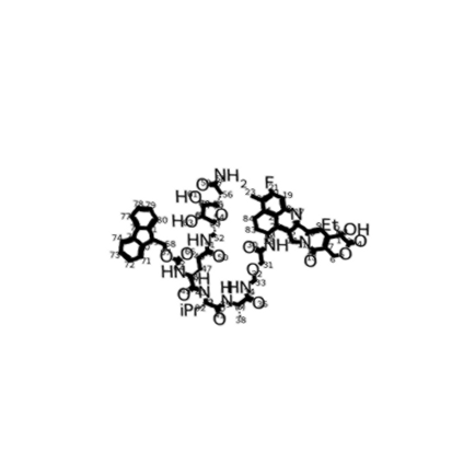 CC[C@@]1(O)C(=O)OCc2c1cc1n(c2=O)Cc2c-1nc1cc(F)c(C)c3c1c2[C@@H](NC(=O)COCNC(=O)[C@H](C)NC(=O)[C@@H](NC(=O)[C@H](CCC(=O)NC[C@H]1O[C@@H](CC(N)=O)[C@H](O)[C@@H]1O)NC(=O)OCC1c2ccccc2-c2ccccc21)C(C)C)CC3